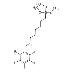 CO[Si](CCCCCCCCc1c(F)c(F)c(F)c(F)c1F)(OC)OC